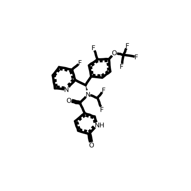 O=C(c1ccc(=O)[nH]c1)N(C(F)F)[C@@H](c1ccc(OC(F)(F)F)c(F)c1)c1ncccc1F